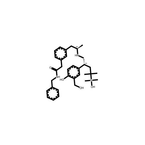 C[C@H](Cc1cccc(CC(=O)NCc2ccccc2)c1)NC[C@H](CC(C)(C)[Si](C)(C)O)c1ccc(O)c(CO)c1